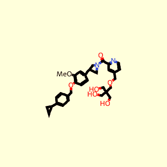 COc1cc(C2CN(C(=O)c3cc(COCC(CO)(CO)CO)ccn3)C2)ccc1OCc1ccc(C2CC2)cc1